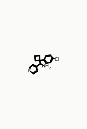 NC(c1ccncc1)C1(c2ccc(Cl)cc2)CCC1